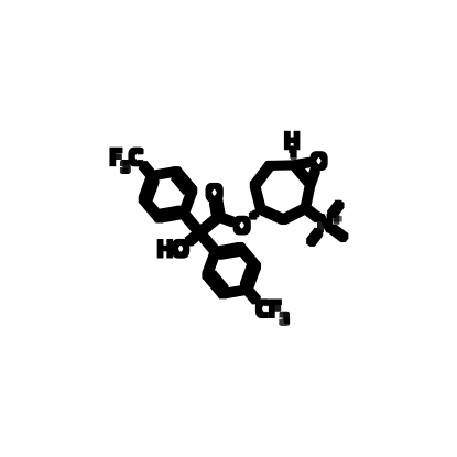 C[N+](C)(C)C1C[C@H](OC(=O)C(O)(c2ccc(C(F)(F)F)cc2)c2ccc(C(F)(F)F)cc2)CC[C@H]2OC12